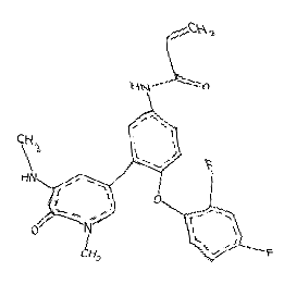 C=CC(=O)Nc1ccc(Oc2ccc(F)cc2F)c(-c2cc(NC)c(=O)n(C)c2)c1